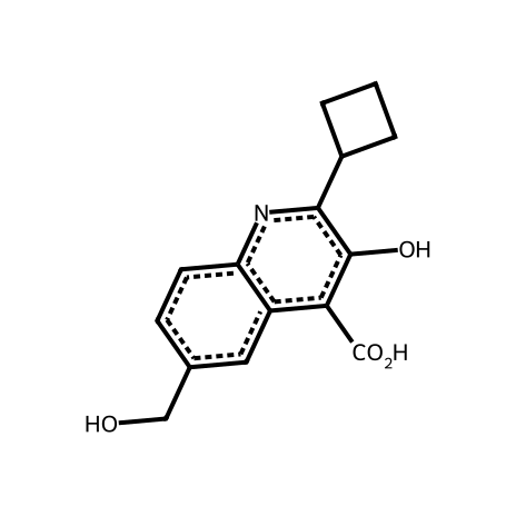 O=C(O)c1c(O)c(C2CCC2)nc2ccc(CO)cc12